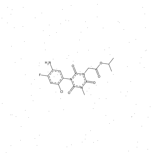 CC(C)OC(=O)Cn1c(=O)n(C)c(=O)n(-c2cc(N)c(F)cc2Cl)c1=O